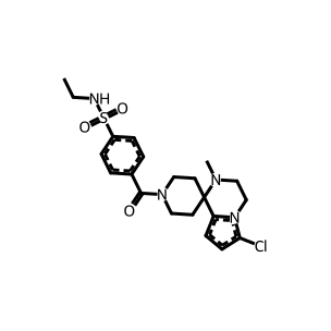 CCNS(=O)(=O)c1ccc(C(=O)N2CCC3(CC2)c2ccc(Cl)n2CCN3C)cc1